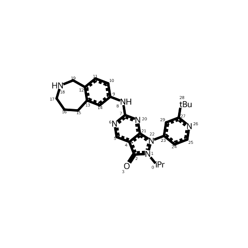 CC(C)n1c(=O)c2cnc(Nc3ccc4c(c3)CCCNC4)nc2n1-c1ccnc(C(C)(C)C)c1